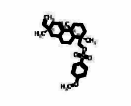 C=C[C@@]1(C)CC=C2C(CCC3[C@](C)(COS(=O)(=O)c4ccc(OC)cc4)CCC[C@@]23C)C1